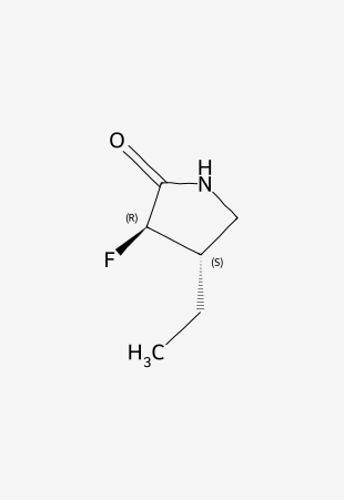 CC[C@H]1CNC(=O)[C@@H]1F